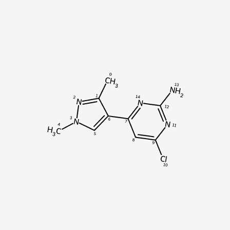 Cc1nn(C)cc1-c1cc(Cl)nc(N)n1